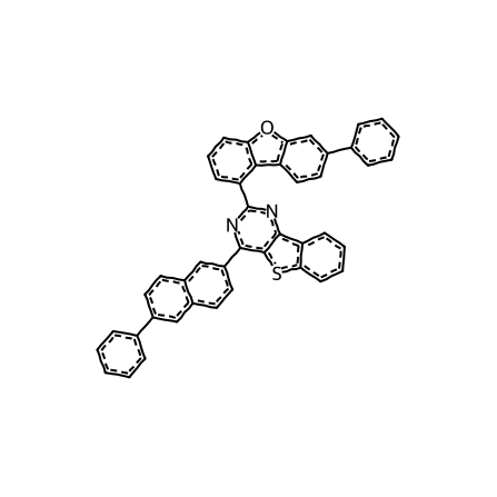 c1ccc(-c2ccc3cc(-c4nc(-c5cccc6oc7cc(-c8ccccc8)ccc7c56)nc5c4sc4ccccc45)ccc3c2)cc1